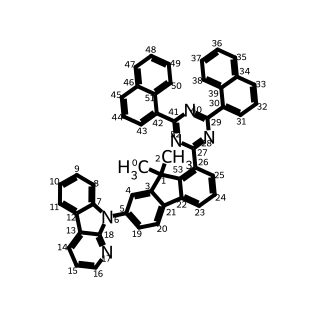 CC1(C)c2cc(-n3c4ccccc4c4cccnc43)ccc2-c2cccc(-c3nc(-c4cccc5ccccc45)nc(-c4cccc5ccccc45)n3)c21